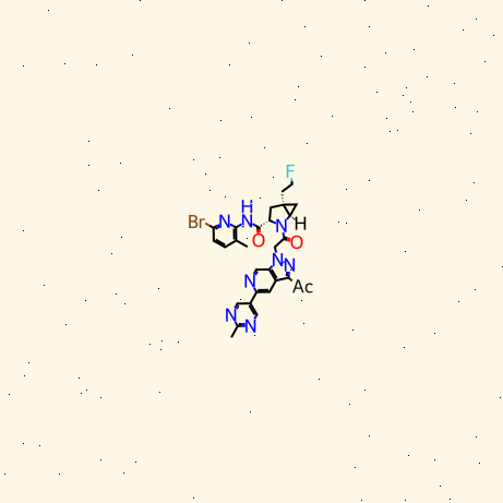 CC(=O)c1nn(CC(=O)N2[C@H](C(=O)Nc3nc(Br)ccc3C)C[C@@]3(CCF)C[C@@H]23)c2cnc(-c3cnc(C)nc3)cc12